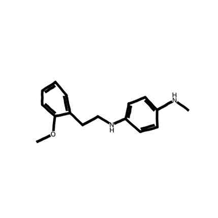 CNc1ccc(NCCc2ccccc2OC)cc1